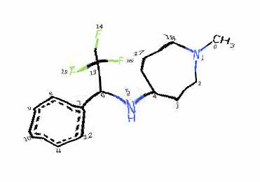 CN1CCC(NC(c2ccccc2)C(F)(F)F)CC1